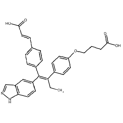 CC/C(=C(/c1ccc(/C=C/C(=O)O)cc1)c1ccc2[nH]ncc2c1)c1ccc(OCCCC(=O)O)cc1